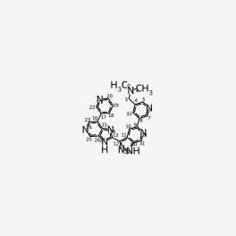 CN(C)Cc1cncc(-c2cc3c(-c4nc5c(-c6cccnc6)cncc5[nH]4)n[nH]c3cn2)c1